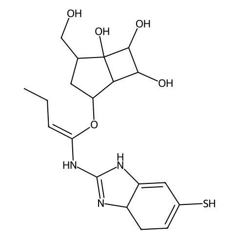 CCC=C(NC1=NC2CC=C(S)C=C2N1)OC1CC(CO)C2(O)C(O)C(O)C12